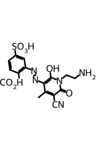 Cc1c(N=Nc2cc(S(=O)(=O)O)ccc2C(=O)O)c(O)n(CCN)c(=O)c1C#N